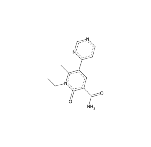 CCn1c(C)c(-c2ccncn2)cc(C(N)=O)c1=O